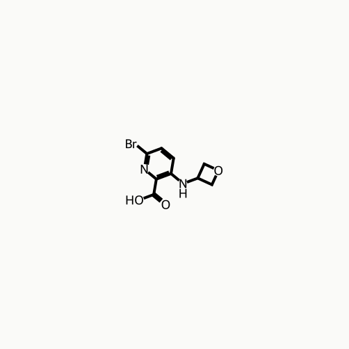 O=C(O)c1nc(Br)ccc1NC1COC1